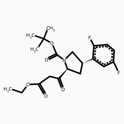 CCOC(=O)CC(=O)[C@@H]1C[C@@H](c2cc(F)ccc2F)CN1C(=O)OC(C)(C)C